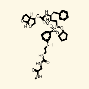 CNC(=O)CNC(=O)NCCNc1cccc(S(=O)(=O)N(C[C@@H](O)[C@H](Cc2ccccc2)NC(=O)O[C@@H]2CO[C@@H]3OCC[C@@H]32)OC2CCCC2)c1